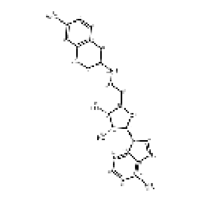 COc1ccc2c(c1)OCC(NOC[C@H]1O[C@@H](n3cnc4c(N)ncnc43)[C@H](O)[C@@H]1O)C2